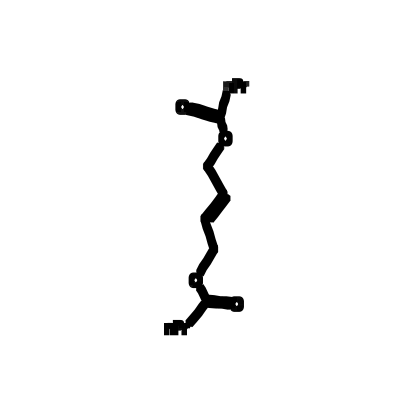 CCCC(=O)OCC=CCOC(=O)CCC